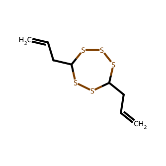 C=CCC1SSSC(CC=C)SS1